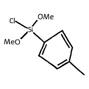 CO[Si](Cl)(OC)c1ccc(C)cc1